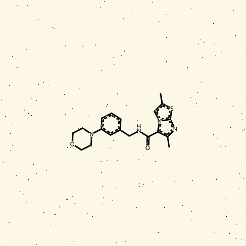 Cc1cn2c(C(=O)NCc3cccc(N4CCOCC4)c3)c(C)nc2s1